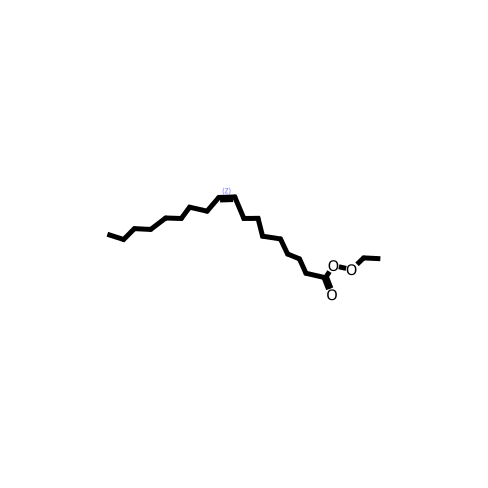 CCCCCCCC/C=C\CCCCCCCC(=O)OOCC